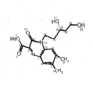 COC(=O)c1nc2cc(C)c(C)cc2n(CC[C@H](O)CCO)c1=O